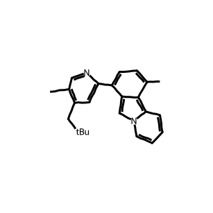 Cc1cnc(-c2ccc(C)c3c2cn2ccccc32)cc1CC(C)(C)C